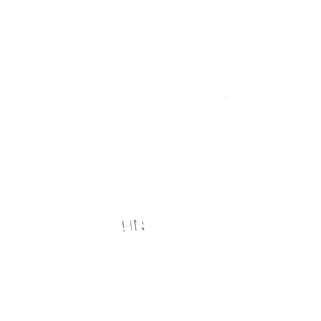 C[C](C)CC1CCNCC1